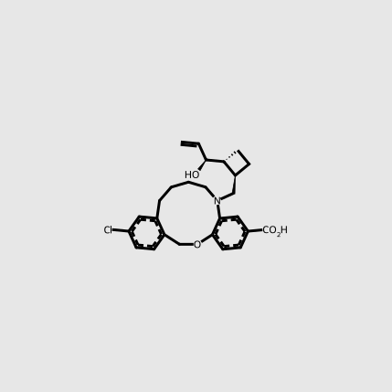 C=C[C@H](O)[C@@H]1CC[C@H]1CN1CCCCc2cc(Cl)ccc2COc2ccc(C(=O)O)cc21